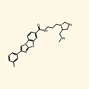 CNCC1CBCN1CCCNC(=O)c1ccc2c(c1)sc1nc(-c3cccc(C)c3)cn12